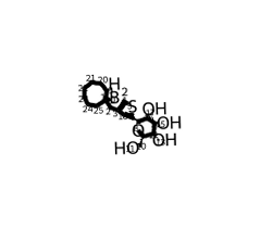 BC1(Cc2csc([C@@H]3O[C@H](CO)[C@@H](O)[C@H](O)[C@H]3O)c2)CCCCCCC1